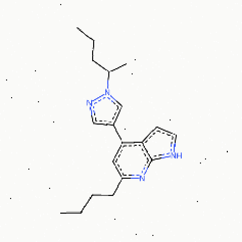 CCCCc1cc(-c2cnn(C(C)CCC)c2)c2cc[nH]c2n1